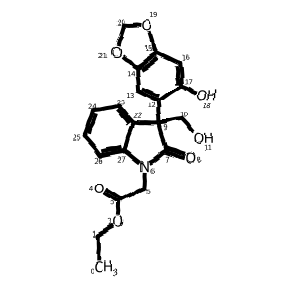 CCOC(=O)CN1C(=O)C(CO)(c2cc3c(cc2O)OCO3)c2ccccc21